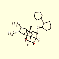 CC1C(C)C2CC1C(F)(F)C2(F)C(OCOC1CCCCC1C1CCCCC1)(C(F)(F)F)C(F)(F)F